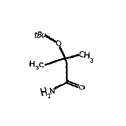 CC(C)(C)OC(C)(C)C(N)=O